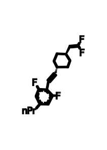 CCCc1cc(F)c(C#C[C@H]2CC[C@H](C=C(F)F)CC2)c(F)c1